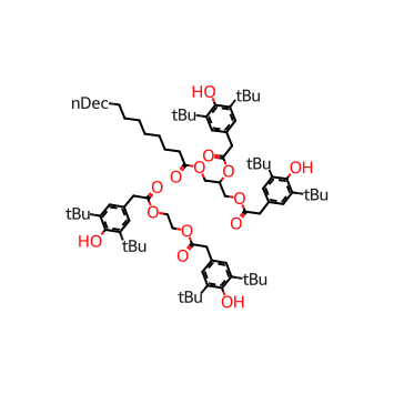 CC(C)(C)c1cc(CC(=O)OCCOC(=O)Cc2cc(C(C)(C)C)c(O)c(C(C)(C)C)c2)cc(C(C)(C)C)c1O.CCCCCCCCCCCCCCCCCC(=O)OCC(COC(=O)Cc1cc(C(C)(C)C)c(O)c(C(C)(C)C)c1)OC(=O)Cc1cc(C(C)(C)C)c(O)c(C(C)(C)C)c1